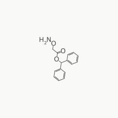 NOCC(=O)OC(c1ccccc1)c1ccccc1